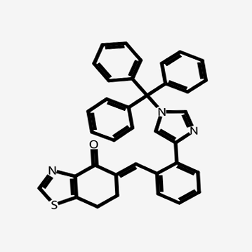 O=C1/C(=C/c2ccccc2-c2cn(C(c3ccccc3)(c3ccccc3)c3ccccc3)cn2)CCc2scnc21